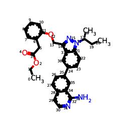 CCOC(=O)Cc1ccccc1OCc1nn([C@@H](C)CC)c2ccc(-c3ccc4ccnc(N)c4c3)cc12